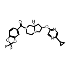 O=C(c1ccc2c(c1)OC(F)(F)O2)N1CCN2C[C@H](Oc3cnc(C4CC4)cn3)C[C@H]2C1